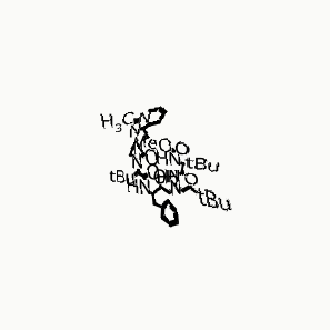 COC(=O)NC(C(=O)NN(CCC(C)(C)C)CC(O)C(Cc1ccccc1)NC(=O)C(N1CCN(Cc2nc(C)n3ccccc23)C1=O)C(C)(C)C)C(C)(C)C